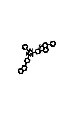 c1ccc(-c2nc(-c3ccc(-c4ccc5ccccc5c4)cc3)nc(-c3ccc4c(c3)Sc3ccc(-c5ccccc5)c5cccc-4c35)n2)cc1